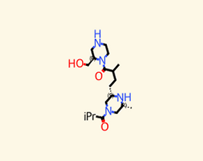 CC(C)C(=O)N1C[C@H](CCC(C)C(=O)N2CCNC[C@@H]2CO)N[C@H](C)C1